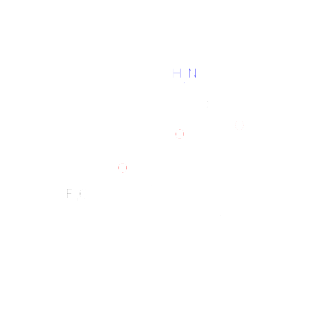 NC(=O)Oc1ccccc1OC(F)(F)F